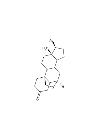 CC(=O)[C@H]1CCC2C3C[C@H]4SC[C@@]5(CCC(=O)CC45)C3CC[C@@]21C